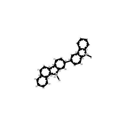 Cn1c2ccccc2c2cc(-c3ccc4c5ccc6ccccc6c5n(C)c4c3)ccc21